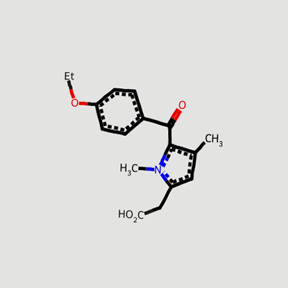 CCOc1ccc(C(=O)c2c(C)cc(CC(=O)O)n2C)cc1